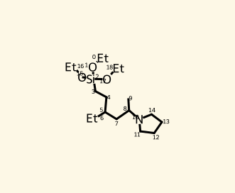 CCO[Si](CCC(CC)CC(C)N1CCCC1)(OCC)OCC